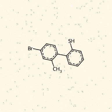 Cc1cc(Br)ccc1-c1ccccc1S